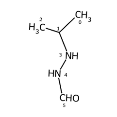 CC(C)NNC=O